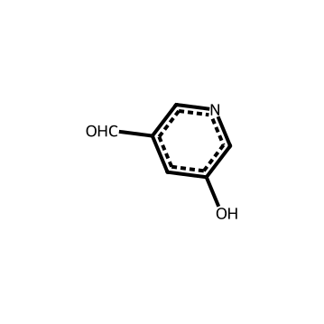 O=Cc1cncc(O)c1